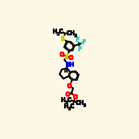 CC(C)Sc1cc(C(F)(F)F)cc(S(=O)(=O)CN[C@@H]2CCCc3c(OCC(=O)OC(C)(C)C)cccc32)c1